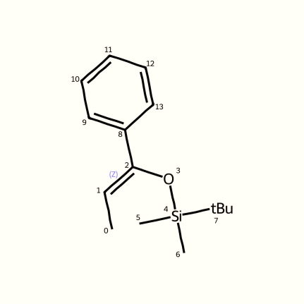 C/C=C(\O[Si](C)(C)C(C)(C)C)c1ccccc1